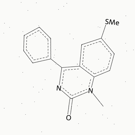 CSc1ccc2c(c1)c(-c1ccccc1)nc(=O)n2C